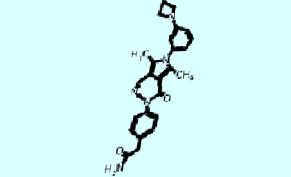 Cc1c2cnn(-c3ccc(CC(N)=O)cc3)c(=O)c2c(C)n1-c1cccc(N2CCC2)c1